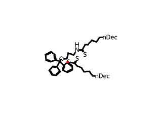 CCCCCCCCCCCCCCCC(=S)NCCC(OC(c1ccccc1)(c1ccccc1)c1ccccc1)SC(=S)CCCCCCCCCCCCCCC